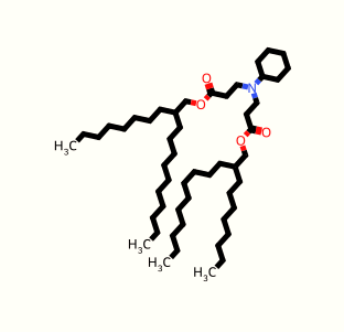 CCCCCCCCCCC(CCCCCCCC)COC(=O)CCN(CCC(=O)OCC(CCCCCCCC)CCCCCCCCCC)C1CCCCC1